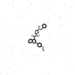 CCOc1ccc(-c2cc(C(=O)N[C@H]3CC[C@@H](NCc4ccccc4)C3)c3ccccc3n2)cc1